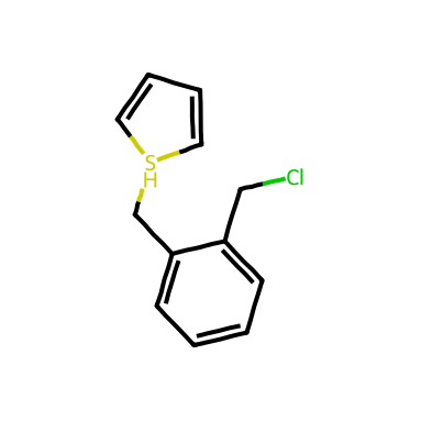 ClCc1ccccc1C[SH]1C=CC=C1